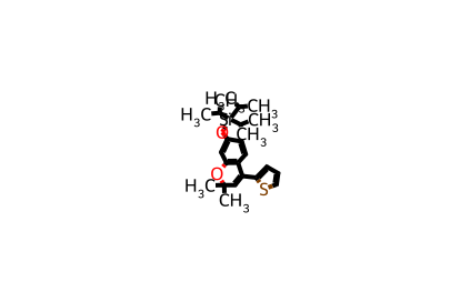 CC(C)[Si](Oc1ccc2c(c1)OC(C)(C)C=C2c1cccs1)(C(C)C)C(C)C